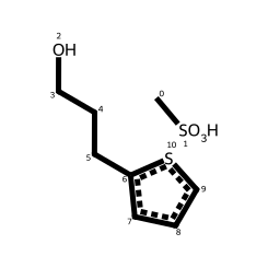 CS(=O)(=O)O.OCCCc1cccs1